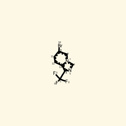 FC(F)(F)c1ncn2cc(Br)ccc12